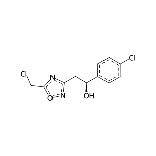 O[C@@H](Cc1noc(CCl)n1)c1ccc(Cl)cc1